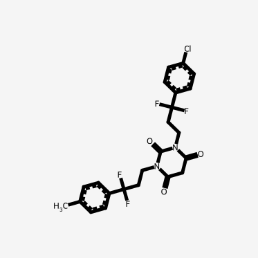 Cc1ccc(C(F)(F)CCN2C(=O)CC(=O)N(CCC(F)(F)c3ccc(Cl)cc3)C2=O)cc1